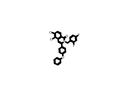 O=c1c2ccc(Cl)c(Cl)c2cc(-c2ccc(Oc3ccccc3)cc2)n1Cc1ccc(F)cc1F